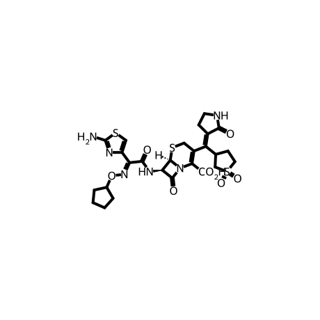 Nc1nc(C(=NOC2CCCC2)C(=O)N[C@@H]2C(=O)N3C(C(=O)O)=C(C(=C4CCNC4=O)C4CCS(=O)(=O)C4)CS[C@H]23)cs1